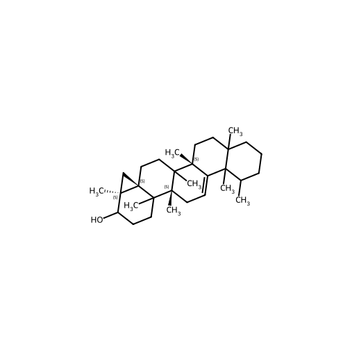 CC1CCCC2(C)CC[C@]3(C)C(=CC[C@]4(C)C5(C)CCC(O)[C@@]6(C)C[C@@]56CCC43C)C12C